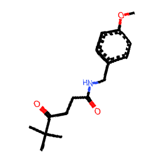 COc1ccc(CNC(=O)CCC(=O)C(C)(C)C)cc1